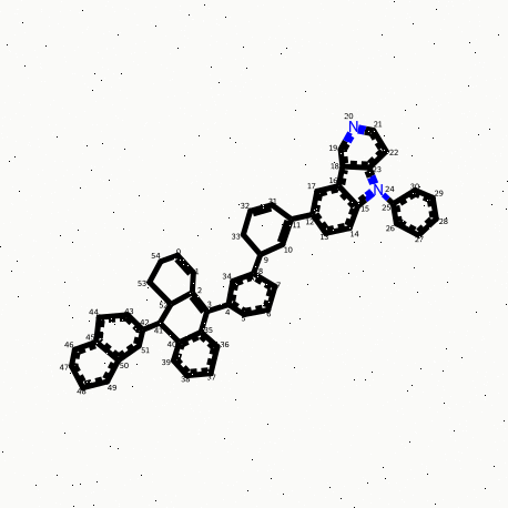 C1=CC2=C(c3cccc(C4C=C(c5ccc6c(c5)c5cnccc5n6-c5ccccc5)C=CC4)c3)c3ccccc3C(c3ccc4ccccc4c3)C2CC1